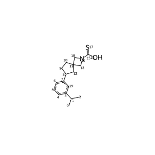 CC(C)c1cccc(C2CCC3(C2)CN(C(O)=S)C3)c1